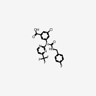 O=C(O)c1cc(Cl)cc([As](C(=O)NCc2ccc(F)cc2)c2nccc(C(F)(F)F)n2)c1